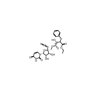 CCOC(=O)C(Cc1ccccc1)N(O)[PH](=O)OC[C@@]1(N=[N+]=[N-])O[C@@H](n2ccc(=O)[nH]c2=O)[C@H](O)[C@@H]1O